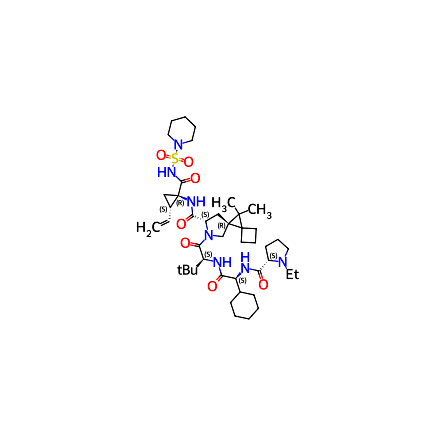 C=C[C@@H]1C[C@]1(NC(=O)[C@@H]1C[C@@]2(CN1C(=O)[C@@H](NC(=O)[C@@H](NC(=O)[C@@H]1CCCN1CC)C1CCCCC1)C(C)(C)C)C(C)(C)C21CCC1)C(=O)NS(=O)(=O)N1CCCCC1